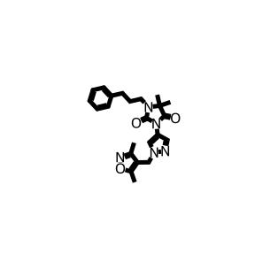 Cc1noc(C)c1Cn1cc(N2C(=O)N(CCCc3ccccc3)C(C)(C)C2=O)cn1